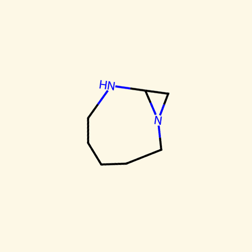 C1CCNC2CN2CC1